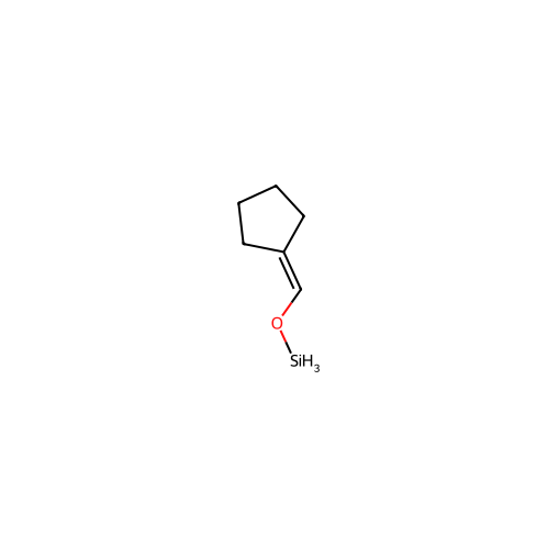 [SiH3]OC=C1CCCC1